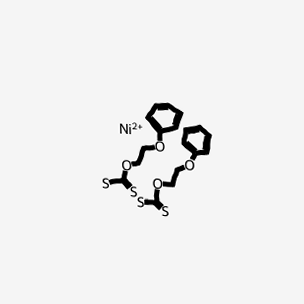 S=C([S-])OCCOc1ccccc1.S=C([S-])OCCOc1ccccc1.[Ni+2]